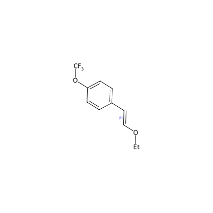 CCO/C=C/c1ccc(OC(F)(F)F)cc1